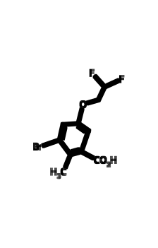 Cc1c(Br)cc(OCC(F)F)cc1C(=O)O